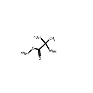 CCCCCCCCCOC(=O)C(C)(CCCCCC)CCCCCCCC